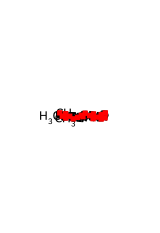 C[Si](C)(C)c1ccc(-c2ccc(-c3ccc4cc(-c5ccc(-c6ccc7ccccc7c6)cc5)ccc4c3)cc2)cc1